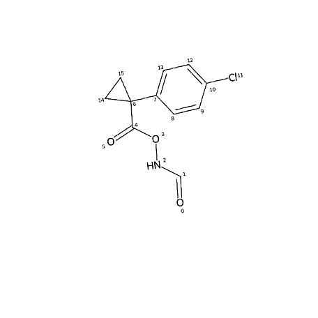 O=CNOC(=O)C1(c2ccc(Cl)cc2)CC1